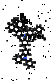 CC1(C)c2ccccc2-c2ccc(N(c3ccc(-c4ccc5c(c4)c4ccccc4n5-c4ccccc4)cc3)c3ccc4c(c3)C3(c5ccccc5-4)c4ccccc4C(C)(C)c4ccccc43)cc21